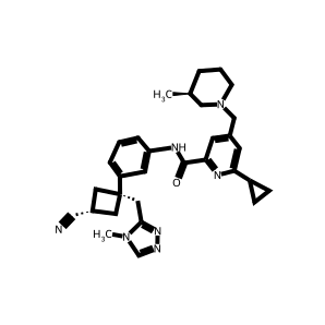 C[C@H]1CCCN(Cc2cc(C(=O)Nc3cccc([C@]4(Cc5nncn5C)C[C@@H](C#N)C4)c3)nc(C3CC3)c2)C1